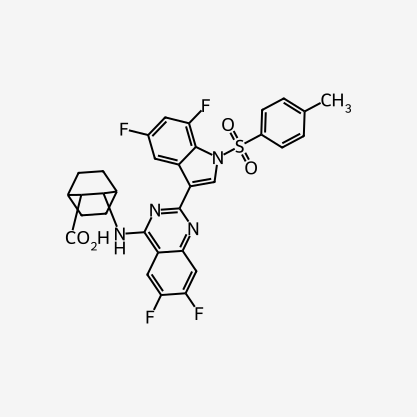 Cc1ccc(S(=O)(=O)n2cc(-c3nc(NC4C5CCC(CC5)C4C(=O)O)c4cc(F)c(F)cc4n3)c3cc(F)cc(F)c32)cc1